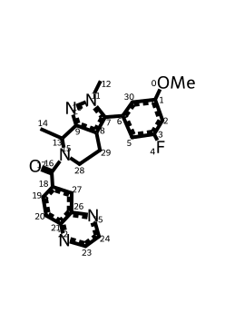 COc1cc(F)cc(-c2c3c(nn2C)C(C)N(C(=O)c2ccc4nccnc4c2)CC3)c1